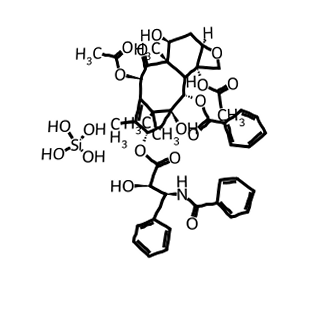 CC(=O)O[C@H]1C(=O)[C@@]2(C)[C@H]([C@H](OC(=O)c3ccccc3)[C@]3(O)C[C@H](OC(=O)[C@H](O)[C@@H](NC(=O)c4ccccc4)c4ccccc4)C(C)=C1C3(C)C)[C@]1(OC(C)=O)CO[C@@H]1C[C@@H]2O.O[Si](O)(O)O